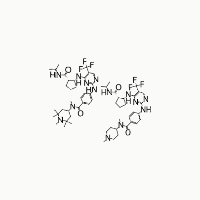 CC(C)NC(=O)[C@H]1CCC[C@H]1Nc1nc(Nc2ccc(C(=O)N(C)C3CC(C)(C)N(C)C(C)(C)C3)cc2)ncc1C(F)(F)F.CC(C)NC(=O)[C@H]1CCC[C@H]1Nc1nc(Nc2ccc(C(=O)N(C)C3CCN(C)CC3)cc2)ncc1C(F)(F)F